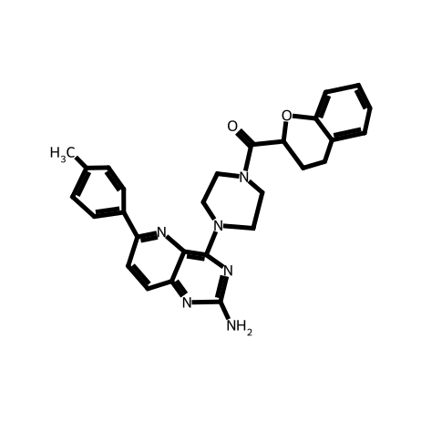 Cc1ccc(-c2ccc3nc(N)nc(N4CCN(C(=O)C5CCc6ccccc6O5)CC4)c3n2)cc1